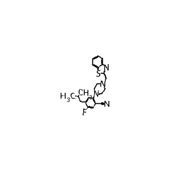 CC(C)Cc1cc(N2CCN(Cc3nc4ccccc4s3)CC2)c(C#N)cc1F